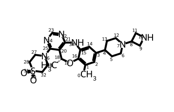 Cc1cc(C2CCN(C3CNC3)CC2)cc2c1O[C@H](C)c1c(ncnc1N1CCS(=O)(=O)CC1)N2